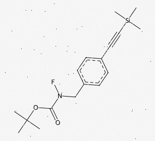 CC(C)(C)OC(=O)N(F)Cc1ccc(C#C[Si](C)(C)C)cc1